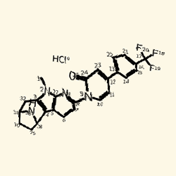 Cl.Cn1c2c(c3ccc(-n4ccc(-c5ccc(C(F)(F)F)cc5)cc4=O)nc31)C1CCC(C2)N1